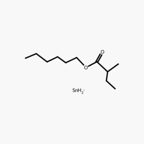 CCCCCCOC(=O)C(C)CC.[SnH2]